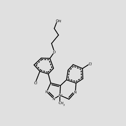 C[N+]12C=Nc3cc(Cl)ccc3C1=C(c1cc(OCCCO)ccc1Cl)N=N2